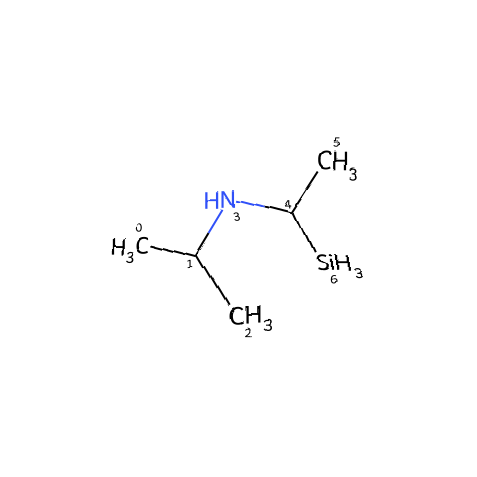 CC(C)NC(C)[SiH3]